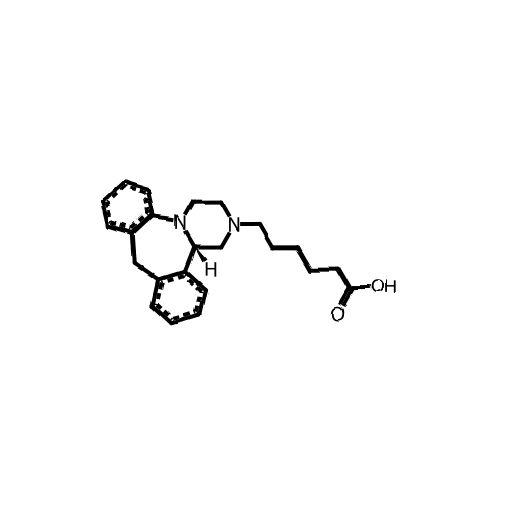 O=C(O)CCCCCN1CCN2c3ccccc3Cc3ccccc3[C@H]2C1